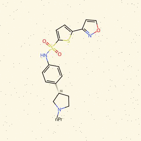 CCCN1CC[C@@H](c2ccc(NS(=O)(=O)c3ccc(-c4ccon4)s3)cc2)C1